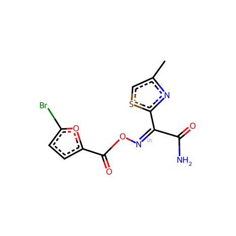 Cc1csc(/C(=N\OC(=O)c2ccc(Br)o2)C(N)=O)n1